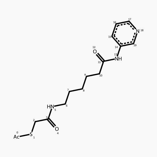 CC(=O)SCC(=O)NCCCCCC(=O)Nc1cccnc1